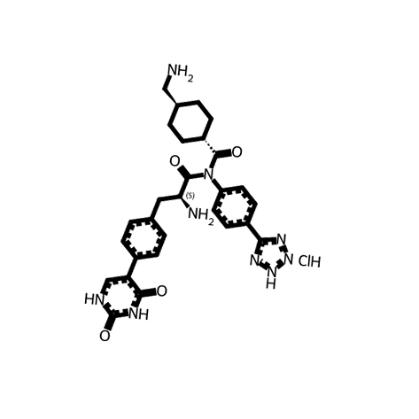 Cl.NC[C@H]1CC[C@H](C(=O)N(C(=O)[C@@H](N)Cc2ccc(-c3c[nH]c(=O)[nH]c3=O)cc2)c2ccc(-c3nn[nH]n3)cc2)CC1